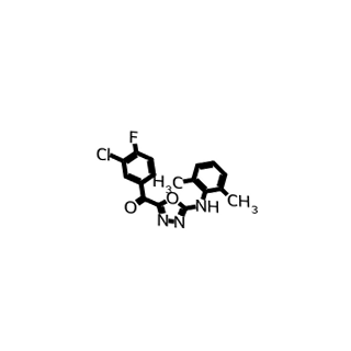 Cc1cccc(C)c1Nc1nnc(C(=O)c2ccc(F)c(Cl)c2)o1